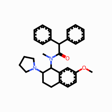 COc1ccc2c(c1)C(N(C)C(=O)C(c1ccccc1)c1ccccc1)C(N1CCCC1)CC2